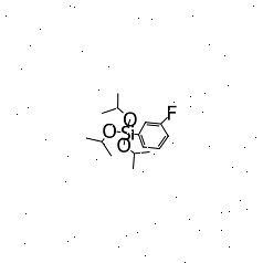 CC(C)O[Si](OC(C)C)(OC(C)C)c1cccc(F)c1